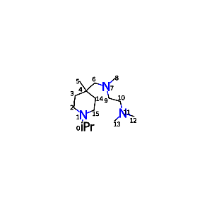 CC(C)N1CCC(C)(CN(C)CCN(C)C)CC1